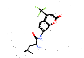 CC(C)C[C@H](N)C(=O)Nc1ccc2c(C(F)(F)F)cc(=O)oc2c1